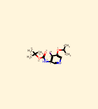 CC(C)Oc1cncc(NC(=O)OC(C)(C)C)c1I